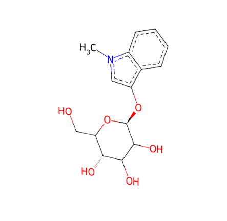 Cn1cc(O[C@@H]2OC(CO)[C@@H](O)C(O)C2O)c2ccccc21